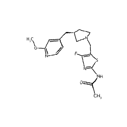 COc1cc(C[C@H]2CCN(Cc3sc(NC(C)=O)nc3F)C2)ccn1